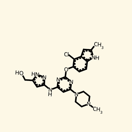 Cc1cc2c(Cl)c(Oc3nc(Nc4cc(CO)[nH]n4)cc(N4CCN(C)CC4)n3)ccc2[nH]1